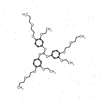 CCCOCCOc1ccc(OB(Oc2ccc(OCCOCCC)c(OCC)c2)Oc2ccc(OCCOCCC)c(OCC)c2)cc1OCC